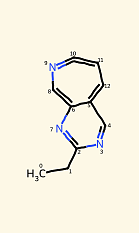 CCc1ncc2c(n1)=CN=C=CC=2